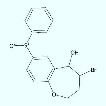 [O-][S+](c1ccccc1)c1ccc2c(c1)C(O)C(Br)CCO2